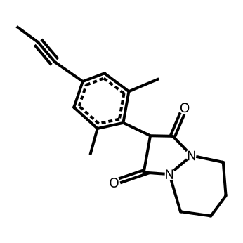 CC#Cc1cc(C)c(C2C(=O)N3CCCCN3C2=O)c(C)c1